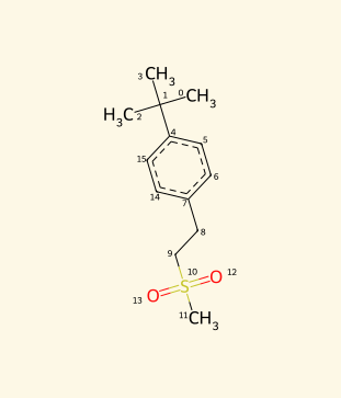 CC(C)(C)c1ccc(CCS(C)(=O)=O)cc1